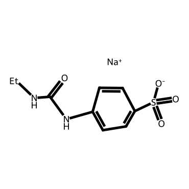 CCNC(=O)Nc1ccc(S(=O)(=O)[O-])cc1.[Na+]